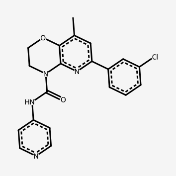 Cc1cc(-c2cccc(Cl)c2)nc2c1OCCN2C(=O)Nc1ccncc1